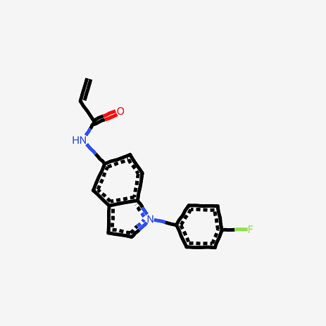 C=CC(=O)Nc1ccc2c(ccn2-c2ccc(F)cc2)c1